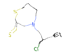 CCC(Cl)N1CCSC1=S